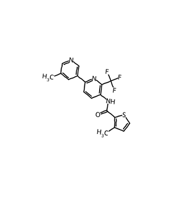 Cc1cncc(-c2ccc(NC(=O)c3sccc3C)c(C(F)(F)F)n2)c1